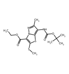 CCOC(=O)c1c(SC)sc2c(NC(=O)OC(C)(C)C)c(C)nn12